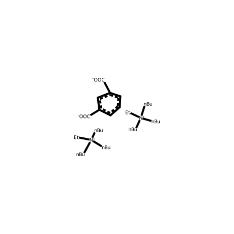 CCCC[N+](CC)(CCCC)CCCC.CCCC[N+](CC)(CCCC)CCCC.O=C([O-])c1cccc(C(=O)[O-])c1